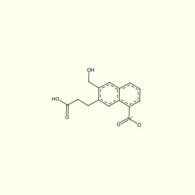 O=C(O)CCc1cc2c([N+](=O)[O-])cccc2cc1CO